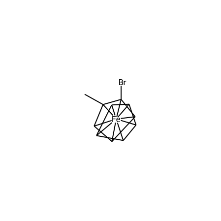 C[C]12[CH]3[CH]4[CH]5[C]1(Br)[Fe]43521678[CH]2[CH]1[CH]6[CH]7[CH]28